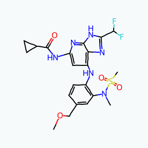 COCc1ccc(Nc2cc(NC(=O)C3CC3)nc3[nH]c(C(F)F)nc23)c(N(C)S(C)(=O)=O)c1